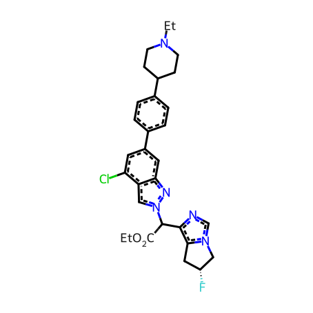 CCOC(=O)C(c1ncn2c1C[C@@H](F)C2)n1cc2c(Cl)cc(-c3ccc(C4CCN(CC)CC4)cc3)cc2n1